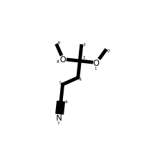 COC(C)(CCC#N)OC